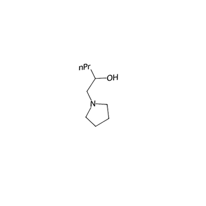 CCCC(O)CN1CCCC1